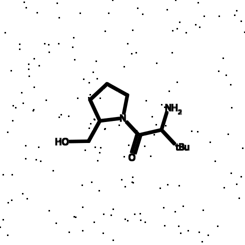 CC(C)(C)C(N)C(=O)N1CCCC1CO